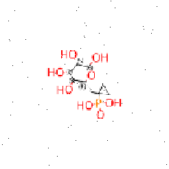 O=P(O)(O)C1(C[C@H]2O[C@H](O)[C@@H](O)[C@@H](O)[C@@H]2O)CC1